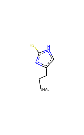 CC(=O)NCCc1c[nH]c(S)n1